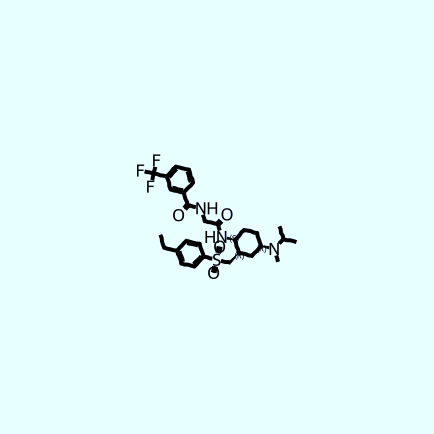 CCc1ccc(S(=O)(=O)C[C@@H]2C[C@H](N(C)C(C)C)CC[C@@H]2NC(=O)CNC(=O)c2cccc(C(F)(F)F)c2)cc1